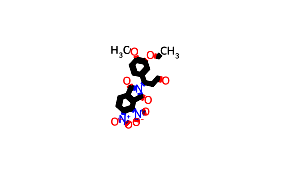 CCOc1cc(C(CC=O)N2C(=O)c3ccc([N+](=O)[O-])c([N+](=O)[O-])c3C2=O)ccc1OC